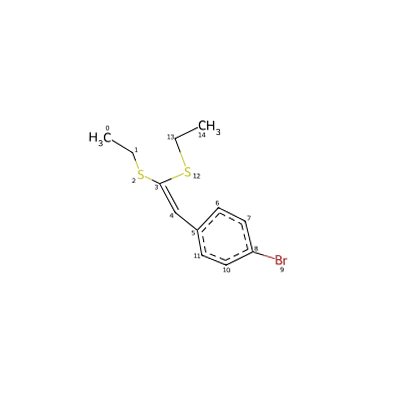 CCSC(=Cc1ccc(Br)cc1)SCC